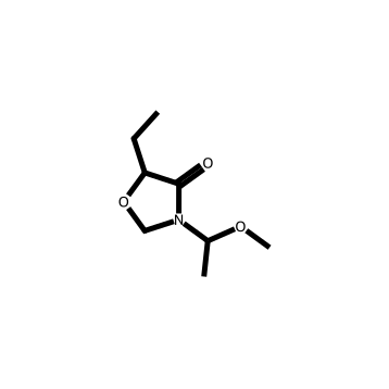 CCC1OCN(C(C)OC)C1=O